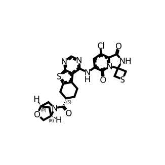 O=C1NC2(CSC2)n2c1c(Cl)cc(Nc1ncnc3sc4c(c13)CC[C@H](C(=O)N1C[C@H]3C[C@@H]1CO3)C4)c2=O